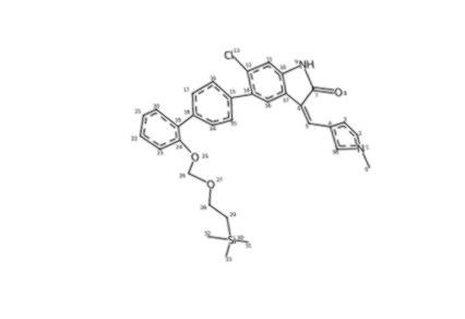 Cn1ccc(C=C2C(=O)Nc3cc(Cl)c(-c4ccc(-c5ccccc5OCOCC[Si](C)(C)C)cc4)cc32)c1